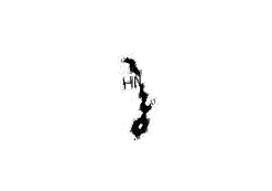 CCCCNCC=CCC(C)c1ccccc1